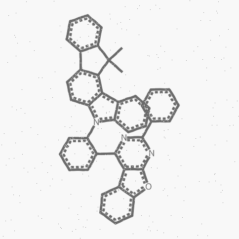 CC1(C)c2ccccc2-c2ccc3c(c21)c1ccccc1n3-c1ccccc1-c1nc(-c2ccccc2)nc2oc3ccccc3c12